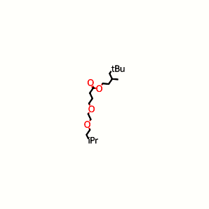 CC(C)CCOCCOCCCC(=O)OCCC(C)CC(C)(C)C